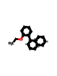 CCOc1ccccc1-c1cccc2ccccc12